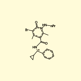 CCCNn1c(C)c(C(=O)N[C@H](c2ccccc2)C2CC2)c(C)c(Br)c1=O